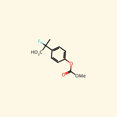 COC(=O)Oc1ccc(C(C)(F)C(=O)O)cc1